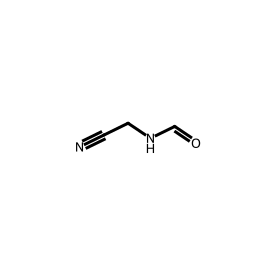 N#CCNC=O